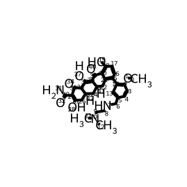 COc1ccc(CNCCN(C)C)cc1-c1ccc(O)c2c1C[C@H]1C[C@H]3CC(O)=C(C(N)=O)C(=O)C3C(O)=C1C2=O